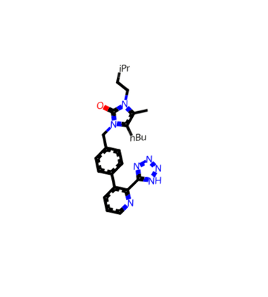 CCCCc1c(C)n(CCC(C)C)c(=O)n1Cc1ccc(-c2cccnc2-c2nnn[nH]2)cc1